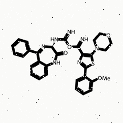 COc1ccccc1-c1nc(C(=N)OC(=N)N[C@H]2N=C(c3ccccc3)c3ccccc3NC2=O)c(N2CCOCC2)s1